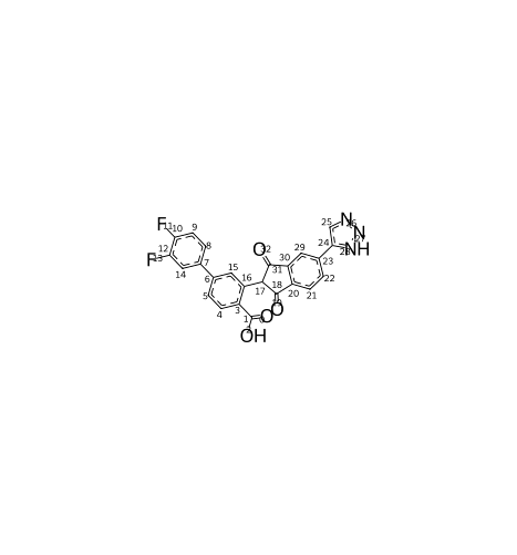 O=C(O)c1ccc(-c2ccc(F)c(F)c2)cc1C1C(=O)c2ccc(-c3cnn[nH]3)cc2C1=O